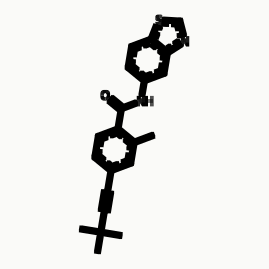 Cc1cc(C#CC(C)(C)C)ccc1C(=O)Nc1ccc2scnc2c1